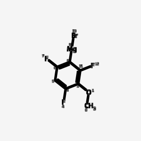 COc1c(F)cc(F)[c]([Mg][Br])c1F